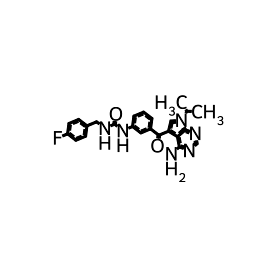 CC(C)n1cc(C(=O)c2cccc(NC(=O)NCc3ccc(F)cc3)c2)c2c(N)ncnc21